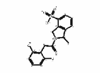 CC1c2cccc(S(=O)(=O)Cl)c2CN1C(=O)Cc1c(Cl)cccc1Cl